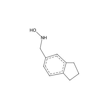 ONCc1ccc2c(c1)CCC2